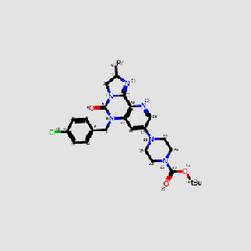 CC(C)C1CN2C(=O)N(Cc3ccc(Cl)cc3)c3cc(N4CCN(C(=O)OC(C)(C)C)CC4)cnc3C2=N1